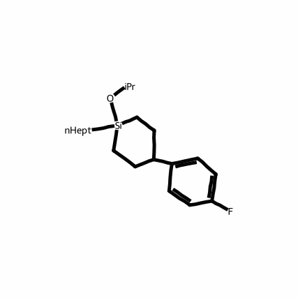 CCCCCCC[Si]1(OC(C)C)CCC(c2ccc(F)cc2)CC1